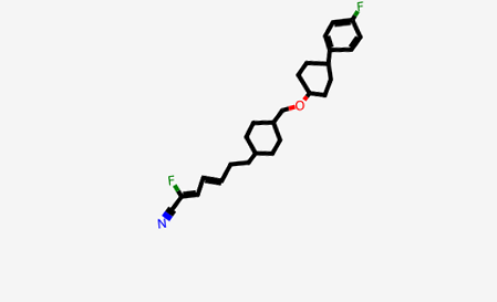 N#CC(F)=CC=CCCC1CCC(COC2CCC(c3ccc(F)cc3)CC2)CC1